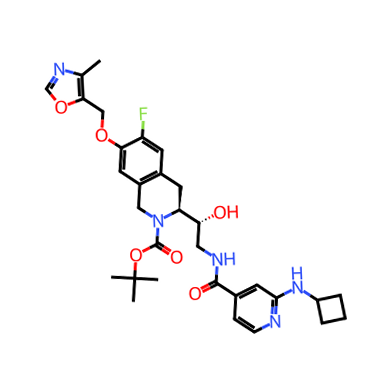 Cc1ncoc1COc1cc2c(cc1F)C[C@@H]([C@H](O)CNC(=O)c1ccnc(NC3CCC3)c1)N(C(=O)OC(C)(C)C)C2